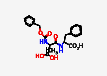 CC(NC(=O)OCc1ccccc1)C(=O)NC(Cc1ccccc1)C(=O)O.OBO